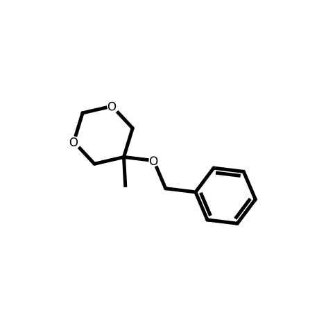 CC1(OCc2ccccc2)COCOC1